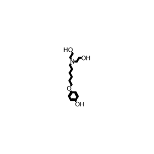 OCCN(CCO)CCCCCCOc1ccc(O)cc1